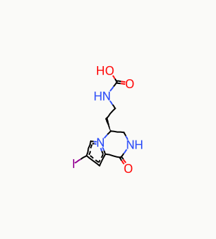 O=C(O)NCC[C@H]1CNC(=O)c2cc(I)cn21